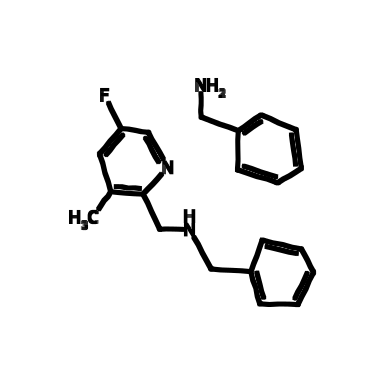 Cc1cc(F)cnc1CNCc1ccccc1.NCc1ccccc1